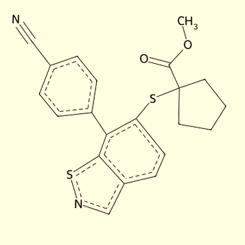 COC(=O)C1(Sc2ccc3cnsc3c2-c2ccc(C#N)cc2)CCCC1